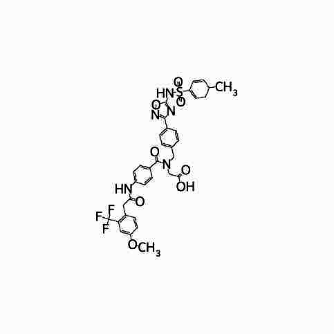 COc1ccc(CC(=O)Nc2ccc(C(=O)N(CC(=O)O)Cc3ccc(-c4noc(NS(=O)(=O)C5=CCC(C)C=C5)n4)cc3)cc2)c(C(F)(F)F)c1